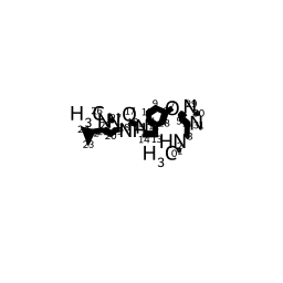 CCNCc1cc(Oc2ccc3c(ccn3C(=O)Nc3cc(C4CC4)n(C)n3)c2)ncn1